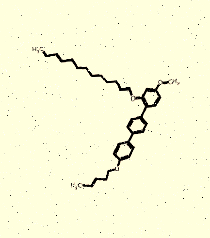 CCCCCCCCCCCCCOc1cc(OC)ccc1-c1ccc(-c2ccc(OCCCCC)cc2)cc1